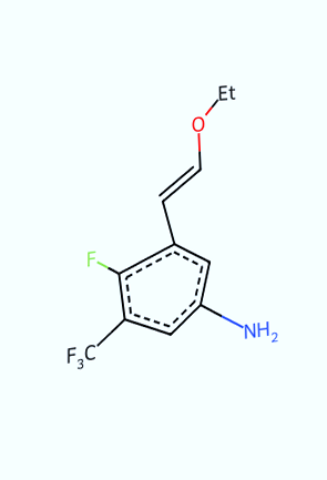 CCOC=Cc1cc(N)cc(C(F)(F)F)c1F